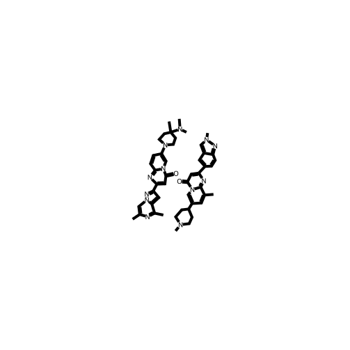 Cc1cc(C2CCN(C)CC2)cn2c(=O)cc(-c3ccc4nn(C)cc4c3)nc12.Cc1cn2nc(-c3cc(=O)n4cc(N5CCC(C)(N(C)C)CC5)ccc4n3)cc2c(C)n1